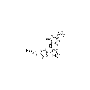 O=C(O)Cc1ccc(-c2cnccc2Oc2ccc([N+](=O)[O-])cc2F)cc1